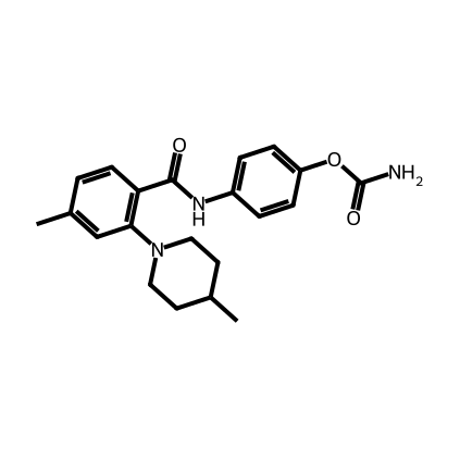 Cc1ccc(C(=O)Nc2ccc(OC(N)=O)cc2)c(N2CCC(C)CC2)c1